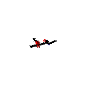 CCCCCC/C=C\[C@H]1CCC(=O)[C@@H]1CCCCCC(OC(C)(C)OCCCC)C(=O)OCCCCCC